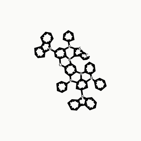 c1ccc(N2c3ccccc3B3c4cc5c(cc4N(c4ccccc4)c4cc(-n6c7ccccc7c7ccccc76)cc2c43)Oc2cc(-n3c4ccccc4c4ccccc43)cc3c2B5c2c(sc4ccccc24)N3c2ccccc2)cc1